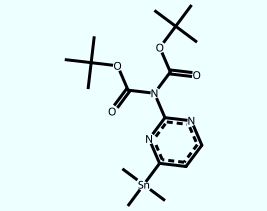 CC(C)(C)OC(=O)N(C(=O)OC(C)(C)C)c1ncc[c]([Sn]([CH3])([CH3])[CH3])n1